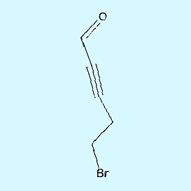 O=CC#CCCBr